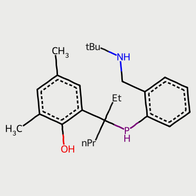 CCCC(CC)(Pc1ccccc1CNC(C)(C)C)c1cc(C)cc(C)c1O